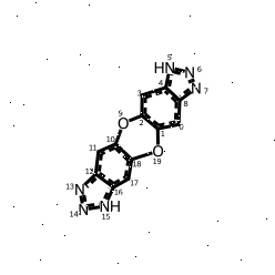 c1c2c(cc3[nH]nnc13)Oc1cc3nn[nH]c3cc1O2